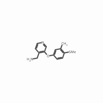 CSc1ccc(Oc2cnccc2CN)cc1C